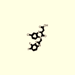 O=C(O)CC1Sc2cc(Cl)ccc2N(Cc2nc3ccc(F)c(F)c3s2)C1=O